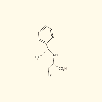 CC(C)C[C@H](N[C@@H](c1ccccn1)C(F)(F)F)C(=O)O